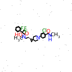 CNC(=O)c1ccc(N2CCC3(CC2)C[C@H]3CCN(C)C(=O)C(O)(c2ccccc2)C(F)(F)F)cc1Cl